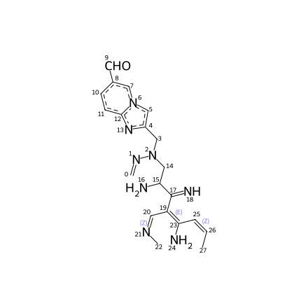 C=NN(Cc1cn2cc(C=O)ccc2n1)CC(N)C(=N)C(/C=N\C)=C(N)\C=C/C